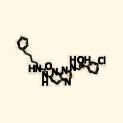 O=C(NCCCCc1ccccc1)Nc1ccc2ncc(NC[C@@H](O)c3cccc(Cl)c3)nc2n1